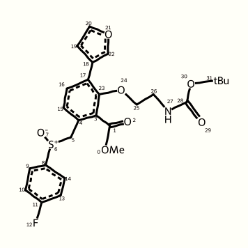 COC(=O)c1c(C[S+]([O-])c2ccc(F)cc2)ccc(-c2ccoc2)c1OCCNC(=O)OC(C)(C)C